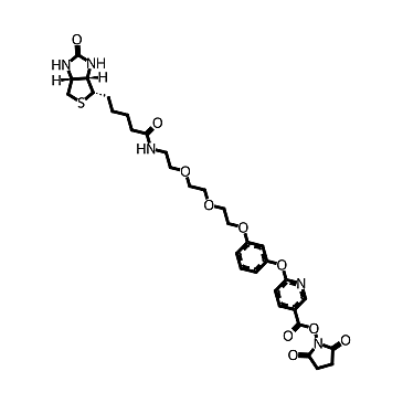 O=C(CCCC[C@@H]1SC[C@@H]2NC(=O)N[C@@H]21)NCCOCCOCCOc1cccc(Oc2ccc(C(=O)ON3C(=O)CCC3=O)cn2)c1